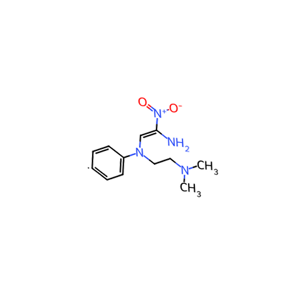 CN(C)CCN(C=C(N)[N+](=O)[O-])c1cc[c]cc1